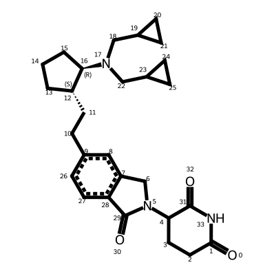 O=C1CCC(N2Cc3cc(CC[C@@H]4CCC[C@H]4N(CC4CC4)CC4CC4)ccc3C2=O)C(=O)N1